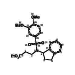 CCOC(=O)CCN(C1CCc2ccccc21)S(=O)(=O)c1ccc(OC)c(OC)c1